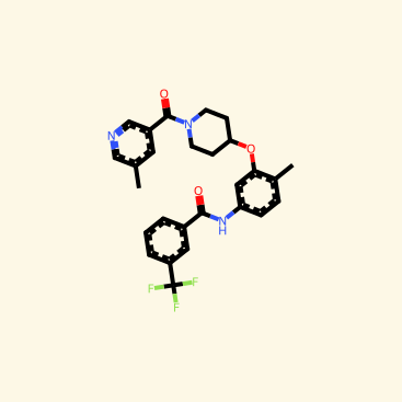 Cc1cncc(C(=O)N2CCC(Oc3cc(NC(=O)c4cccc(C(F)(F)F)c4)ccc3C)CC2)c1